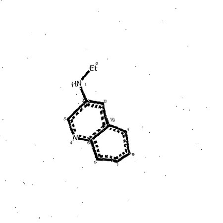 CCNc1[c]nc2ccccc2c1